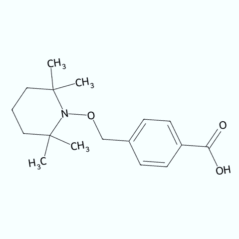 CC1(C)CCCC(C)(C)N1OCc1ccc(C(=O)O)cc1